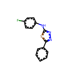 Fc1ccc(Nc2nnc(-c3ccccc3)s2)cc1